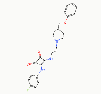 O=c1c(NCCN2CCC(COc3ccccc3)CC2)c(Nc2ccc(F)cc2)c1=O